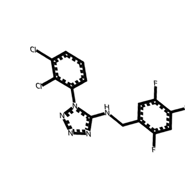 Fc1cc(F)c(CNc2nnnn2-c2cccc(Cl)c2Cl)cc1F